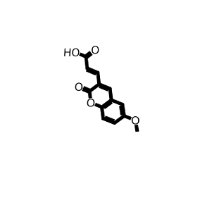 COc1ccc2oc(=O)c(/C=C/C(=O)O)cc2c1